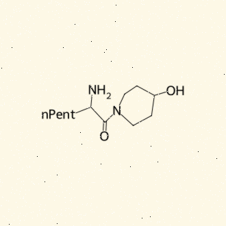 CCCCCC(N)C(=O)N1CCC(O)CC1